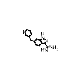 N=C(N)c1n[nH]c2cc(Cc3cccnc3)ccc12